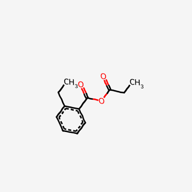 CCC(=O)OC(=O)c1ccccc1CC